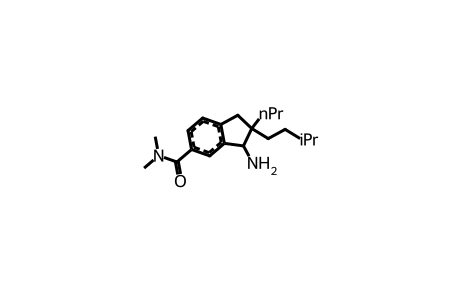 CCCC1(CCC(C)C)Cc2ccc(C(=O)N(C)C)cc2C1N